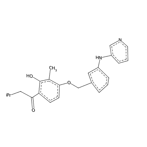 Cc1c(OCc2cccc(Nc3cccnc3)c2)ccc(C(=O)CC(C)C)c1O